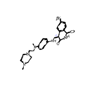 CN1CCN(CCN(C)c2ccc(N/C=C3\C(=O)NC(=O)c4ccc(Br)cc43)cc2)CC1